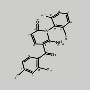 Nc1c(C(=O)c2ccc(F)cc2F)ccc(=O)n1-c1c(F)[c]ccc1F